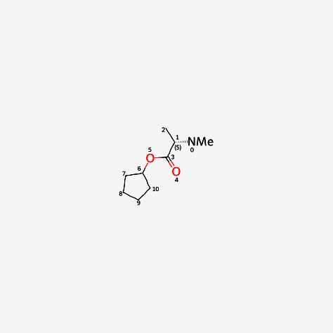 CN[C@@H](C)C(=O)OC1CCCC1